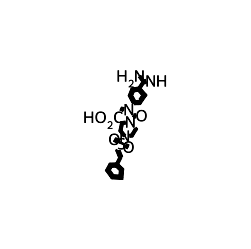 N=C(N)c1ccc(N(CC(=O)O)C(=O)N2CCN(S(=O)(=O)C=Cc3ccccc3)CC2)cc1